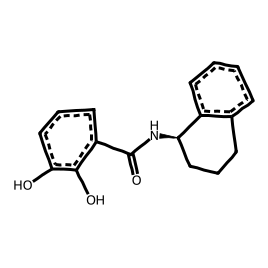 O=C(N[C@@H]1CCCc2ccccc21)c1cccc(O)c1O